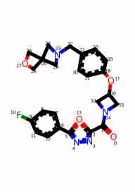 O=C(c1nnc(-c2ccc(F)cc2)o1)N1CC(Oc2ccc(CN3CC4(COC4)C3)cc2)C1